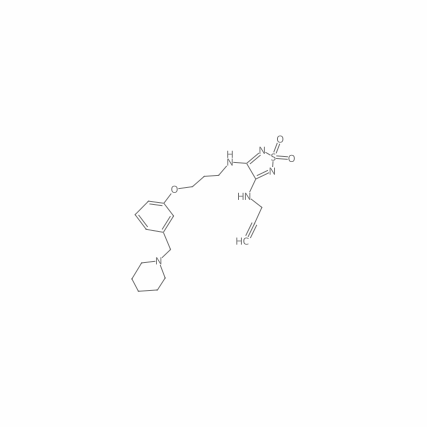 C#CCNC1=NS(=O)(=O)N=C1NCCCOc1cccc(CN2CCCCC2)c1